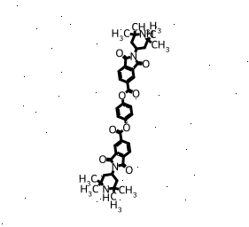 CC1(C)CC(N2C(=O)c3ccc(C(=O)Oc4ccc(OC(=O)c5ccc6c(c5)C(=O)N(C5CC(C)(C)NC(C)(C)C5)C6=O)cc4)cc3C2=O)CC(C)(C)N1